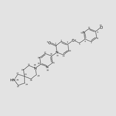 O=c1cc(OCc2ccc(Cl)cn2)ccn1-c1ccc(N2CCC3(CCNC3)CC2)nc1